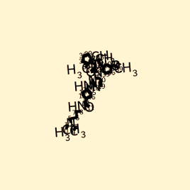 CCN(CC)CCCCNC(=O)c1ccc(Nc2nccc(N(C(=O)Oc3c(C)cccc3C)c3ccc(OC)cc3OC)n2)cc1